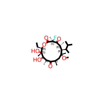 CC[C@H]1OC(=O)[C@@](C)(F)C(=O)[C@H](C)[C@@H](C(C)C(C)C)[C@](C)(OC)C[C@@H](C)C(=O)[C@H](C)[C@@H](O)[C@]1(C)O